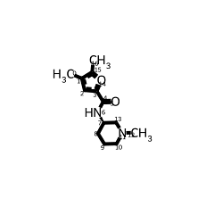 Cc1cc(C(=O)N[C@@H]2CCCN(C)C2)oc1C